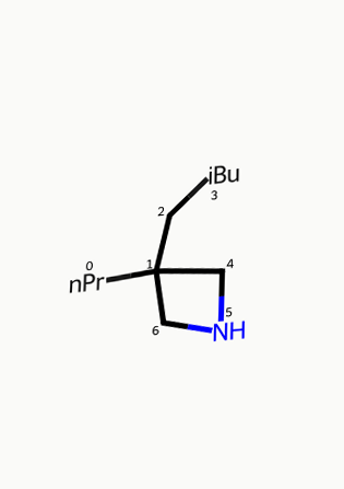 CCCC1(CC(C)CC)CNC1